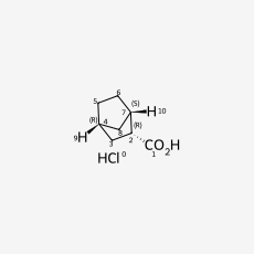 Cl.O=C(O)[C@@H]1C[C@@H]2CC[C@H]1C2